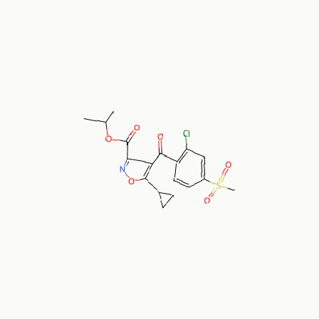 CC(C)OC(=O)c1noc(C2CC2)c1C(=O)c1ccc(S(C)(=O)=O)cc1Cl